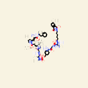 CC[C@H](C)[C@@H]([C@@H](CC(=O)N1CCC[C@H]1[C@H](OC)[C@@H](C)C(=O)N[C@H](C)Cc1ccccc1)OC)N(C)C(=O)CNC(=O)C(C(C)C)N(C)C(=O)OCc1ccc(NC(=O)CNC(=O)C(NC(=O)CCCCCN2C(=O)C3C4C=C(C)C(C4)C3C2=O)C(C)C)cc1